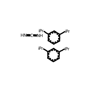 CC(C)c1cccc(C(C)C)c1.CC(C)c1cccc(C(C)C)c1.N=C=N